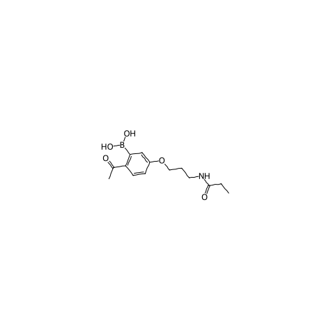 CCC(=O)NCCCOc1ccc(C(C)=O)c(B(O)O)c1